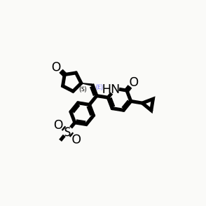 CS(=O)(=O)c1ccc(/C(=C\[C@H]2CCC(=O)C2)c2ccc(C3CC3)c(=O)[nH]2)cc1